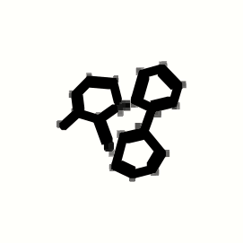 Cc1ccc[nH]c1=O.c1ccc(-c2ccccc2)cc1